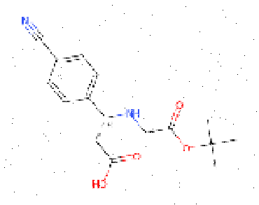 CC(C)(C)OC(=O)CN[C@H](CC(=O)O)c1ccc(C#N)cc1